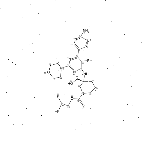 Nc1ncc(-c2nc(N3CCOCC3)nc(N[C@]3(CO)CCCN(C(=O)OCC(F)F)C3)c2F)cn1